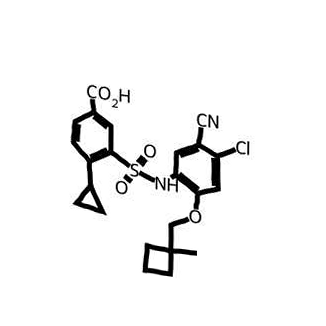 CC1(COc2cc(Cl)c(C#N)cc2NS(=O)(=O)c2cc(C(=O)O)ccc2C2CC2)CCC1